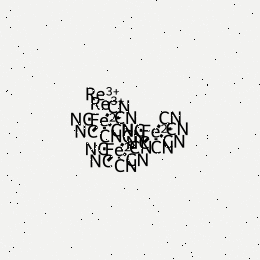 N#[C][Fe-2]([C]#N)([C]#N)([C]#N)([C]#N)[C]#N.N#[C][Fe-2]([C]#N)([C]#N)([C]#N)([C]#N)[C]#N.N#[C][Fe-2]([C]#N)([C]#N)([C]#N)([C]#N)[C]#N.[Re+3].[Re+3]